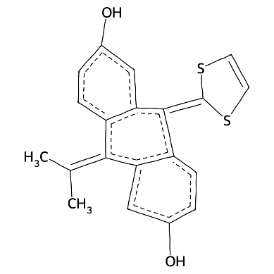 CC(C)=c1c2cc(O)ccc2c(=C2SC=CS2)c2cc(O)ccc12